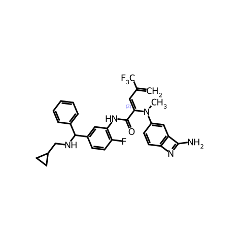 C=C(/C=C(/C(=O)Nc1cc(C(NCC2CC2)c2ccccc2)ccc1F)N(C)c1ccc2c(c1)C(N)=N2)C(F)(F)F